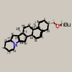 CCCCOC[C@H]1CC[C@@]2(C)C(=CCC3C4CC5C(CC6CCCCN65)[C@@]4(C)CCC32)C1